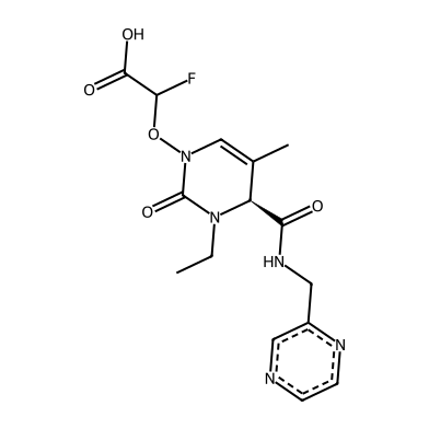 CCN1C(=O)N(OC(F)C(=O)O)C=C(C)[C@H]1C(=O)NCc1cnccn1